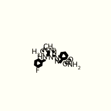 CN(C)c1nnc(-n2ncc3c(S(N)(=O)=O)cccc32)nc1NCc1cccc(F)c1